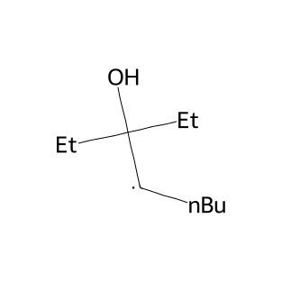 CCCC[CH]C(O)(CC)CC